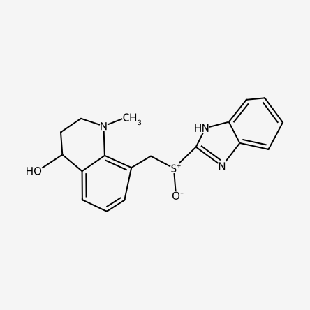 CN1CCC(O)c2cccc(C[S+]([O-])c3nc4ccccc4[nH]3)c21